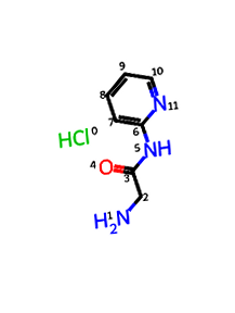 Cl.NCC(=O)Nc1ccccn1